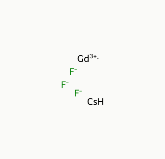 [CsH].[F-].[F-].[F-].[Gd+3]